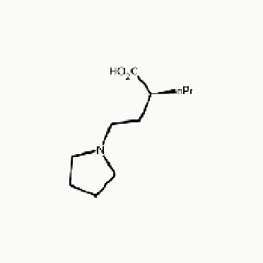 CCC[C@@H](CCN1CCCC1)C(=O)O